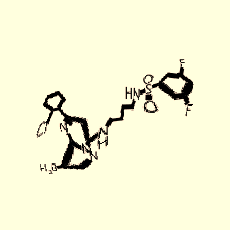 Bc1cnn2c(NCCCCNS(=O)(=O)c3cc(F)cc(F)c3)cc(-c3ccccc3Cl)nc12